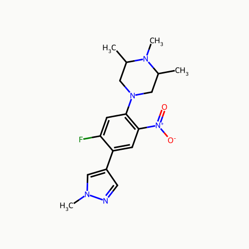 CC1CN(c2cc(F)c(-c3cnn(C)c3)cc2[N+](=O)[O-])CC(C)N1C